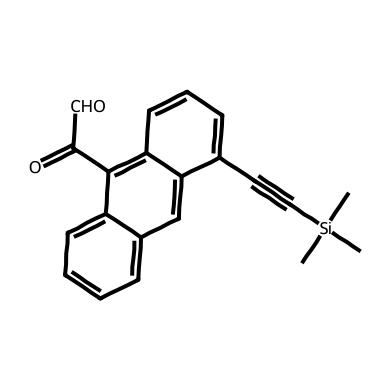 C[Si](C)(C)C#Cc1cccc2c(C(=O)C=O)c3ccccc3cc12